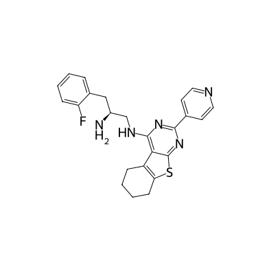 N[C@H](CNc1nc(-c2ccncc2)nc2sc3c(c12)CCCC3)Cc1ccccc1F